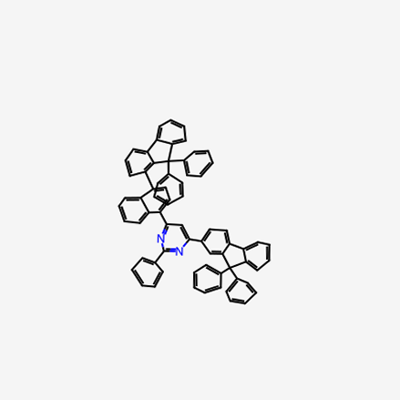 c1ccc(-c2nc(-c3ccc4c(c3)C(c3ccccc3)(c3ccccc3)c3ccccc3-4)cc(-c3ccc(-c4cccc5c4C(c4ccccc4)(c4ccccc4)c4ccccc4-5)c4ccccc34)n2)cc1